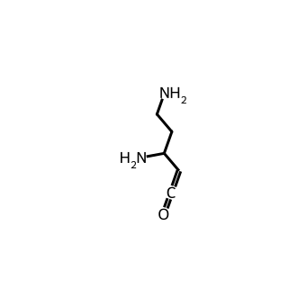 NCCC(N)C=C=O